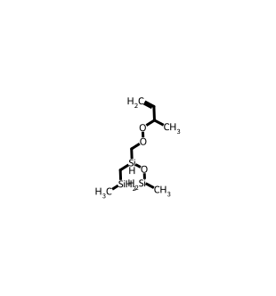 C=CC(C)OOC[SiH](C[SiH2]C)O[SiH2]C